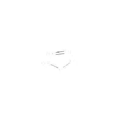 C=C.O=C(O)OC(=O)O